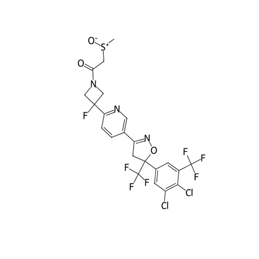 C[S+]([O-])CC(=O)N1CC(F)(c2ccc(C3=NOC(c4cc(Cl)c(Cl)c(C(F)(F)F)c4)(C(F)(F)F)C3)cn2)C1